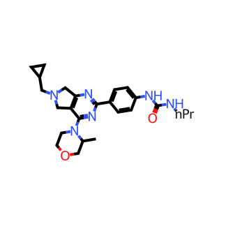 CCCNC(=O)Nc1ccc(-c2nc3c(c(N4CCOCC4C)n2)CN(CC2CC2)C3)cc1